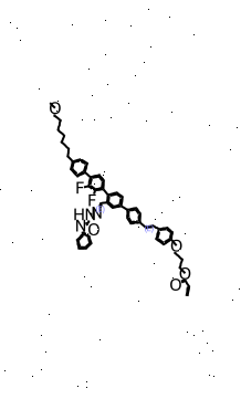 C=CC(=O)OCCCOc1ccc(/C=C/c2ccc(-c3ccc(-c4ccc(-c5ccc(CCCCCCCOC)cc5)c(F)c4F)c(/C=N/Nc4nc5ccccc5o4)c3)cc2)cc1